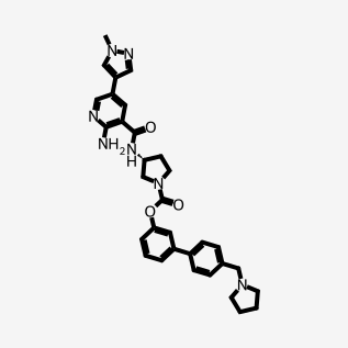 Cn1cc(-c2cnc(N)c(C(=O)N[C@@H]3CCN(C(=O)Oc4cccc(-c5ccc(CN6CCCC6)cc5)c4)C3)c2)cn1